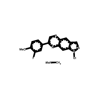 CCn1ncc2cc3ncc(-c4ccc(OC)c(F)c4)nc3cc21.CNC